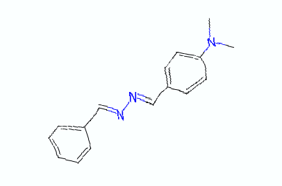 CN(C)c1ccc(/C=N/N=C/c2ccccc2)cc1